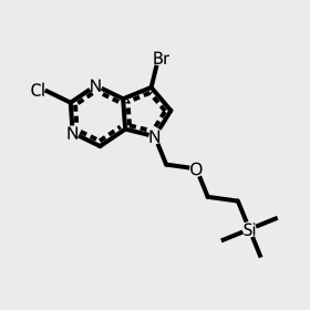 C[Si](C)(C)CCOCn1cc(Br)c2nc(Cl)ncc21